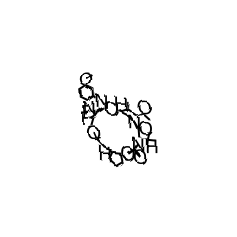 COc1ccc2nc3c(nc2c1)O[C@H]1CN(C(=O)[C@H](C(C)(C)C)NC(=O)O[C@]2(C)CCC[C@H]2CCOCC3(F)F)[C@H](C(C)=O)[C@@H]1C